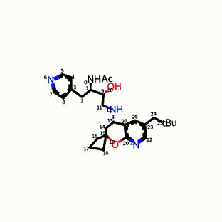 CC(=O)N[C@H](Cc1ccncc1)[C@@H](O)CN[C@H]1CC2(CCC2)Oc2ncc(CC(C)(C)C)cc21